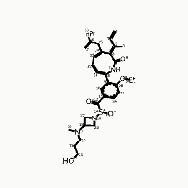 C=C/C(C)=C1C(=O)NC(c2cc(C(=O)[S+]([O-])N3CC(N(C)CCCO)C3)ccc2OCC)=C=C\C=C/1CC(=C)CCC